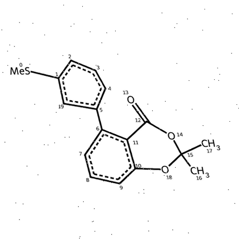 CSc1cccc(-c2cccc3c2C(=O)OC(C)(C)O3)c1